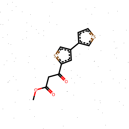 COC(=O)CC(=O)c1cc(-c2ccsc2)cs1